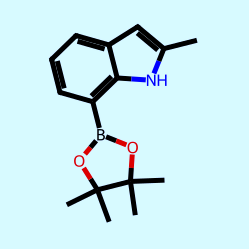 Cc1cc2cccc(B3OC(C)(C)C(C)(C)O3)c2[nH]1